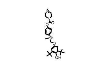 CN1CCN(C(=O)Oc2ccc([Si](C)(C)COc3cc(C(C)(C)C)c(O)c(C(C)(C)C)c3)cc2)CC1